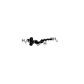 CCOc1ccccc1-n1c(CN2CCN(C(=O)COc3ccc(CNCCCCCCN)cc3)CC2)nc2ccccc2c1=O